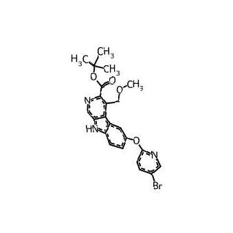 COCc1c(C(=O)OC(C)(C)C)ncc2[nH]c3ccc(Oc4ccc(Br)cn4)cc3c12